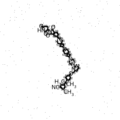 Cc1cc(C#N)cc(C(C)(C)c2ccc(OCc3ccnc(N4CCN(C5CC6(CCN(C7CC8(CCN(c9ccc%10c(c9)C(=O)N(C9CCC(=O)NC9=O)C%10=O)CC8)C7)CC6)C5)CC4)n3)cc2)c1